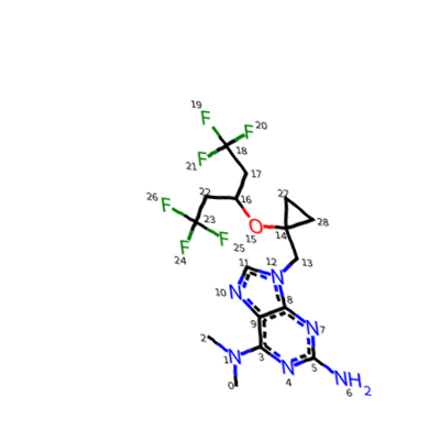 CN(C)c1nc(N)nc2c1ncn2CC1(OC(CC(F)(F)F)CC(F)(F)F)CC1